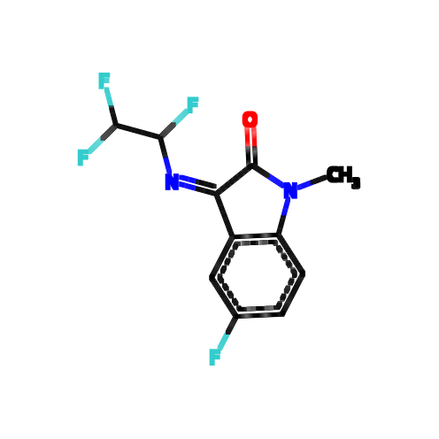 CN1C(=O)C(=NC(F)C(F)F)c2cc(F)ccc21